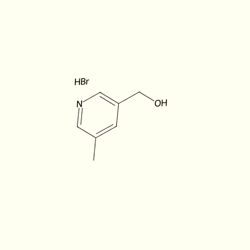 Br.Cc1cncc(CO)c1